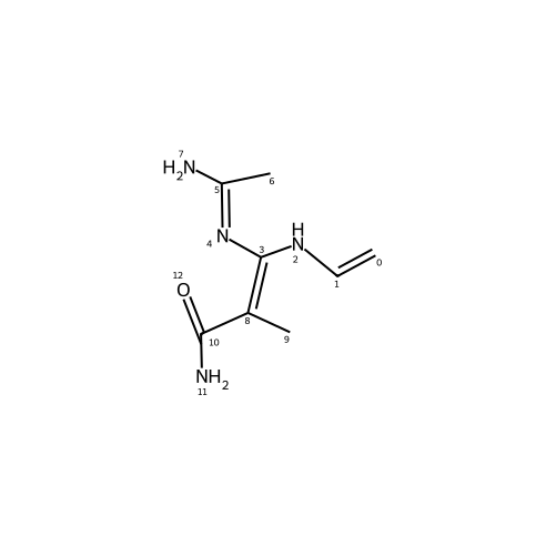 C=CNC(/N=C(\C)N)=C(\C)C(N)=O